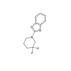 FC1(F)CCCN(c2nc3c[c]ccc3o2)C1